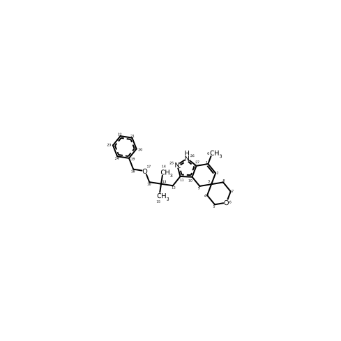 CC1=CC2(CCOCC2)Cc2c(CC(C)(C)COCc3ccccc3)n[nH]c21